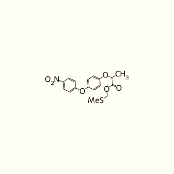 CSCOC(=O)C(C)Oc1ccc(Oc2ccc([N+](=O)[O-])cc2)cc1